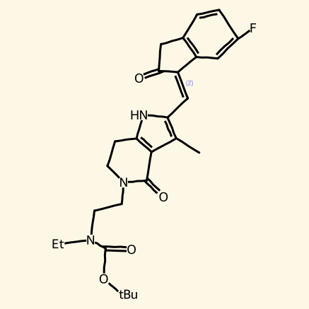 CCN(CCN1CCc2[nH]c(/C=C3\C(=O)Cc4ccc(F)cc43)c(C)c2C1=O)C(=O)OC(C)(C)C